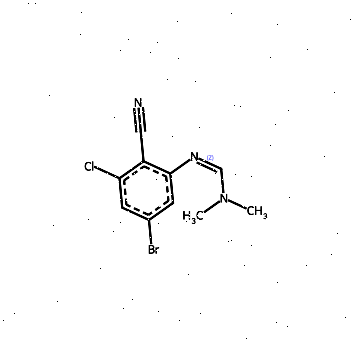 CN(C)/C=N\c1cc(Br)cc(Cl)c1C#N